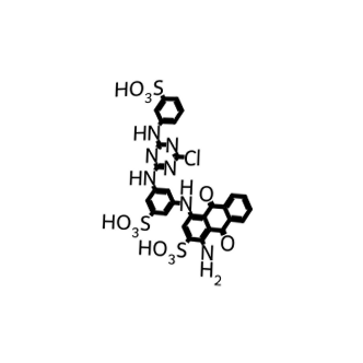 Nc1c(S(=O)(=O)O)cc(Nc2cc(Nc3nc(Cl)nc(Nc4cccc(S(=O)(=O)O)c4)n3)cc(S(=O)(=O)O)c2)c2c1C(=O)c1ccccc1C2=O